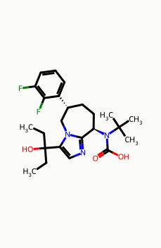 CCC(O)(CC)c1cnc2n1C[C@H](c1cccc(F)c1F)CC[C@H]2N(C(=O)O)C(C)(C)C